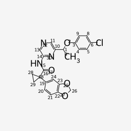 CC(Oc1ccc(Cl)cc1)c1cncc(NC(=O)C2(c3ccc4c(c3)OCO4)CC2)n1